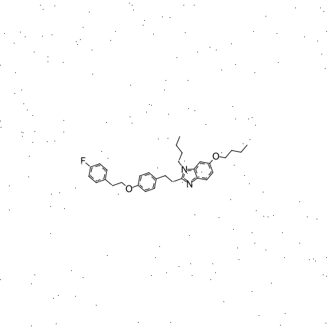 CCCCOc1ccc2nc(CCc3ccc(OCCc4ccc(F)cc4)cc3)n(CCCC)c2c1